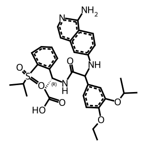 CCOc1ccc(C(Nc2ccc3c(N)nccc3c2)C(=O)N[C@H](CC(=O)O)c2ccccc2S(=O)(=O)C(C)C)cc1OC(C)C